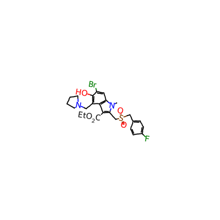 CCOC(=O)c1c(CS(=O)(=O)Cc2ccc(F)cc2)n(C)c2cc(Br)c(O)c(CN3CCCC3)c12